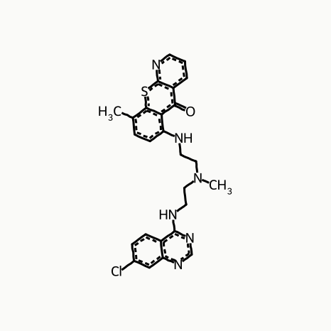 Cc1ccc(NCCN(C)CCNc2ncnc3cc(Cl)ccc23)c2c(=O)c3cccnc3sc12